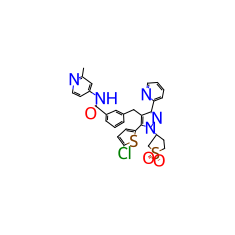 Cc1cc(NC(=O)c2cccc(Cc3c(-c4ccccn4)nn(C4CCS(=O)(=O)C4)c3-c3ccc(Cl)s3)c2)ccn1